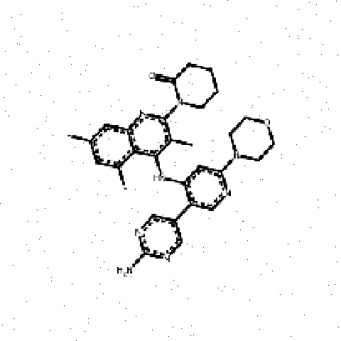 Cc1c(N2CCCCC2=O)nc2cc(F)cc(F)c2c1Nc1cc(N2CCOCC2)ncc1-c1cnc(N)nc1